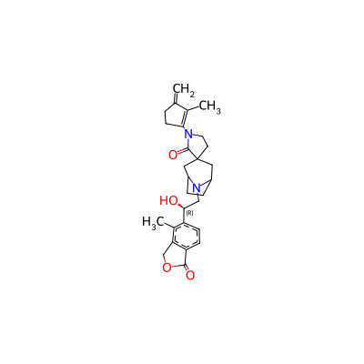 C=C1CCC(N2CCC3(CC4CCC(C3)N4C[C@H](O)c3ccc4c(c3C)COC4=O)C2=O)=C1C